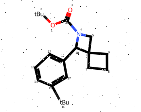 CC(C)(C)OC(=O)N1CC2(CCC2)C1c1cccc(C(C)(C)C)c1